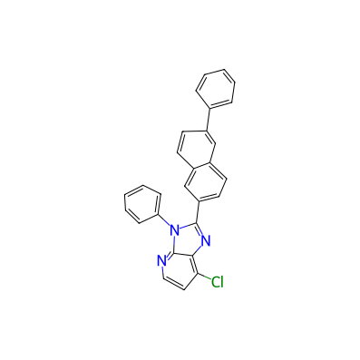 Clc1ccnc2c1nc(-c1ccc3cc(-c4ccccc4)ccc3c1)n2-c1ccccc1